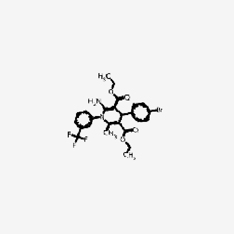 CCOC(=O)C1=C(C)N(c2cccc(C(F)(F)F)c2)C(N)=C(C(=O)OCC)C1c1ccc(Br)cc1